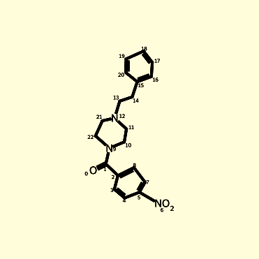 O=C(c1ccc([N+](=O)[O-])cc1)N1CCN(CCc2ccccc2)CC1